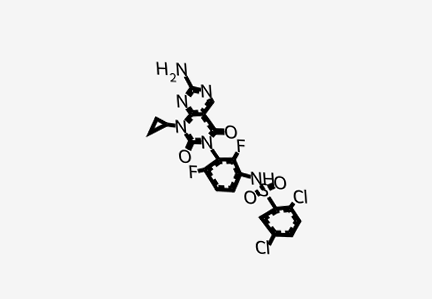 Nc1ncc2c(=O)n(-c3c(F)ccc(NS(=O)(=O)c4cc(Cl)ccc4Cl)c3F)c(=O)n(C3CC3)c2n1